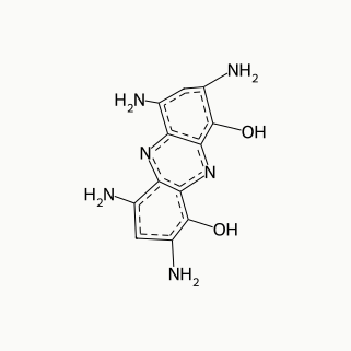 Nc1cc(N)c2nc3c(N)cc(N)c(O)c3nc2c1O